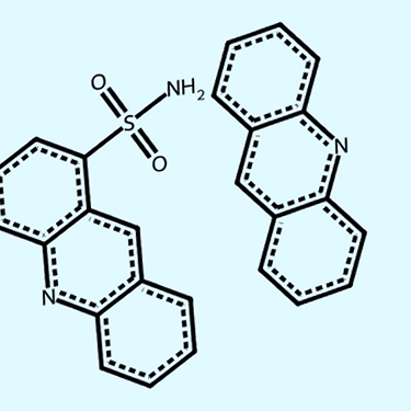 NS(=O)(=O)c1cccc2nc3ccccc3cc12.c1ccc2nc3ccccc3cc2c1